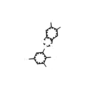 CC(C)(C)c1cc(-n2nc3cc(Cl)c(Cl)cc3n2)c(O)c(C(C)(C)C)c1